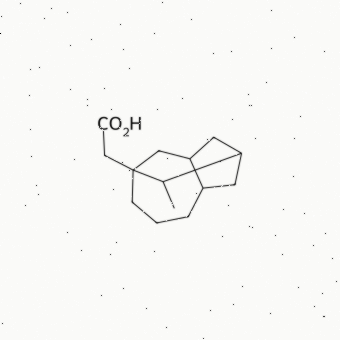 CC1C2CC3CCCC1(CC(=O)O)CC3C2